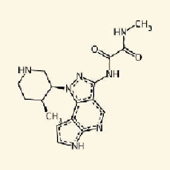 CNC(=O)C(=O)Nc1nn([C@@H]2CNCC[C@@H]2C)c2c1cnc1[nH]ccc12